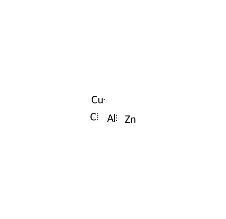 [Al].[C].[Cu].[Zn]